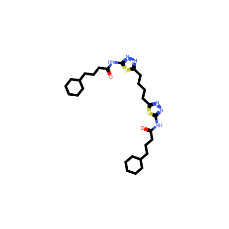 O=C(CCCC1CCCCC1)Nc1nnc(CCCCc2nnc(NC(=O)CCCC3CCCCC3)s2)s1